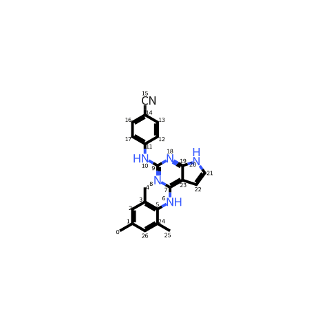 Cc1cc(C)c(Nc2nc(Nc3ccc(C#N)cc3)nc3[nH]ccc23)c(C)c1